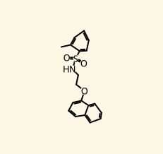 Cc1ccccc1S(=O)(=O)NCCOc1cccc2ccccc12